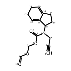 C#CCN(C(=O)OCOC=O)C1CCC2=CCCC=C21